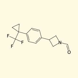 O=CN1CC(c2ccc(C3(C(F)(F)F)CC3)cc2)C1